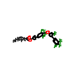 CCCCCCCC1COC(c2ccc(-c3cc(F)c(C(F)(F)Oc4ccc(-c5cc(F)c(F)c(F)c5)c(F)c4)c(F)c3)cc2)OC1